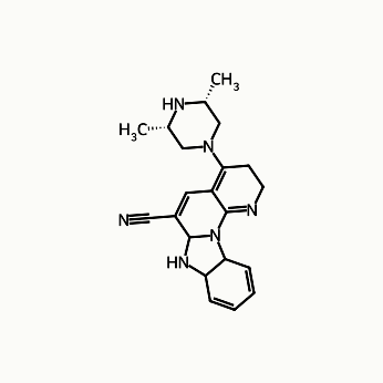 C[C@@H]1CN(C2=C3C=C(C#N)C4NC5C=CC=CC5N4C3=NCC2)C[C@H](C)N1